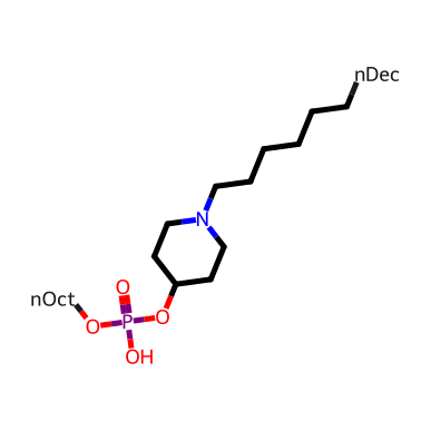 CCCCCCCCCCCCCCCCN1CCC(OP(=O)(O)OCCCCCCCC)CC1